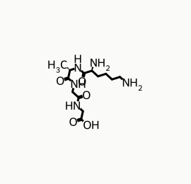 C[C@H](NC(=O)[C@@H](N)CCCCN)C(=O)NCC(=O)NCC(=O)O